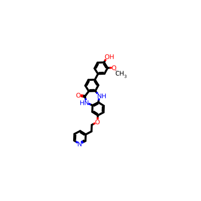 COc1cc(-c2ccc3c(c2)Nc2ccc(OCCc4cccnc4)cc2NC3=O)ccc1O